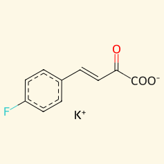 O=C([O-])C(=O)/C=C/c1ccc(F)cc1.[K+]